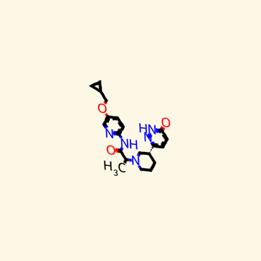 CC(C(=O)Nc1ccc(OCC2CC2)cn1)N1CCC[C@@H](c2ccc(=O)[nH]n2)C1